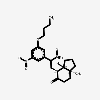 CCCCOc1cc(C(C[C@@H]2C(=O)CC[C@]3(C)CCC[C@@H]23)[N+](=O)[O-])cc([N+](=O)[O-])c1